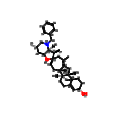 CC1=C2C[C@H]3[C@@H](CCC4=C[C@@H](O)CCC43C)[C@@H]2CC[C@@]2(C1)OC1C[C@H](C)CN(Cc3ccccc3)[C@H]1[C@H]2C